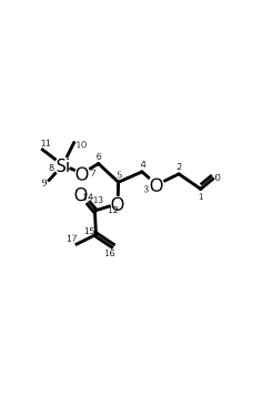 C=CCOCC(CO[Si](C)(C)C)OC(=O)C(=C)C